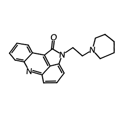 O=C1c2c3ccccc3nc3cccc(c23)N1CCN1CCCCC1